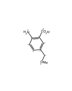 COCc1ccc(N)c(C(=O)O)c1